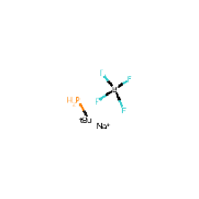 CC(C)(C)P.F[B-](F)(F)F.[Na+]